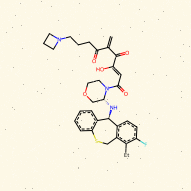 C=C(C(=O)CCCN1CCC1)C(=O)/C(O)=C/C(=O)N1CCOC[C@H]1N[C@@H]1c2ccccc2SCc2c1ccc(F)c2CC